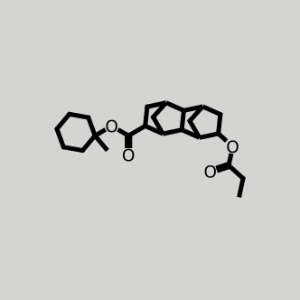 CCC(=O)OC1CC2CC1C1C3CC(CC3C(=O)OC3(C)CCCCC3)C21